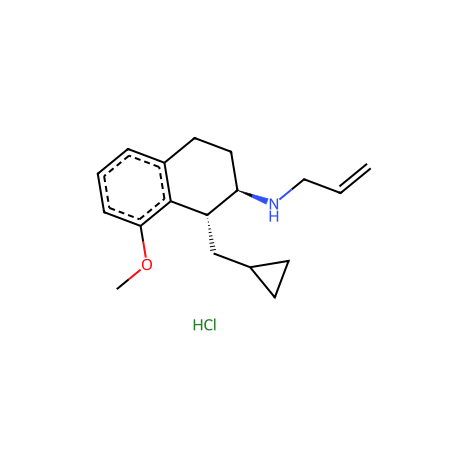 C=CCN[C@@H]1CCc2cccc(OC)c2[C@H]1CC1CC1.Cl